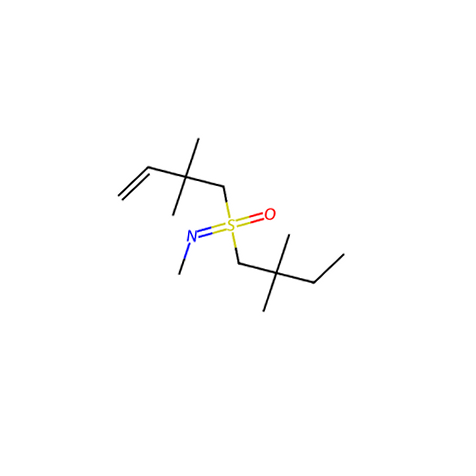 C=CC(C)(C)CS(=O)(CC(C)(C)CC)=NC